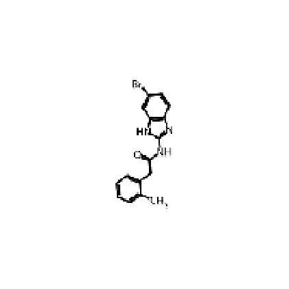 Cc1ccccc1CC(=O)Nc1nc2ccc(Br)cc2[nH]1